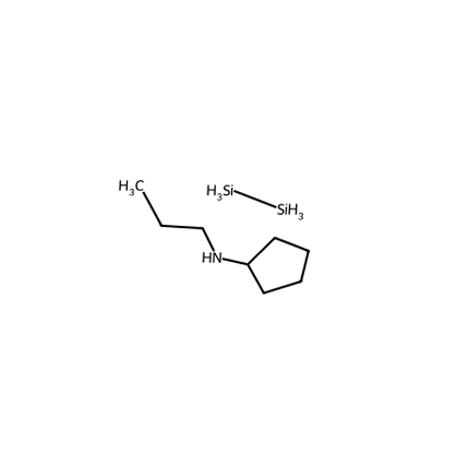 CCCNC1CCCC1.[SiH3][SiH3]